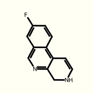 Fc1ccc2c3c(ncc2c1)CNC=C3